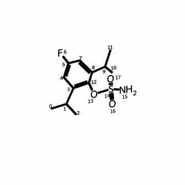 CC(C)c1cc(F)cc(C(C)C)c1OS(N)(=O)=O